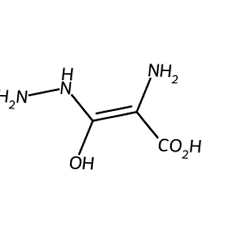 NN/C(O)=C(\N)C(=O)O